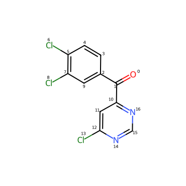 O=C(c1ccc(Cl)c(Cl)c1)c1cc(Cl)ncn1